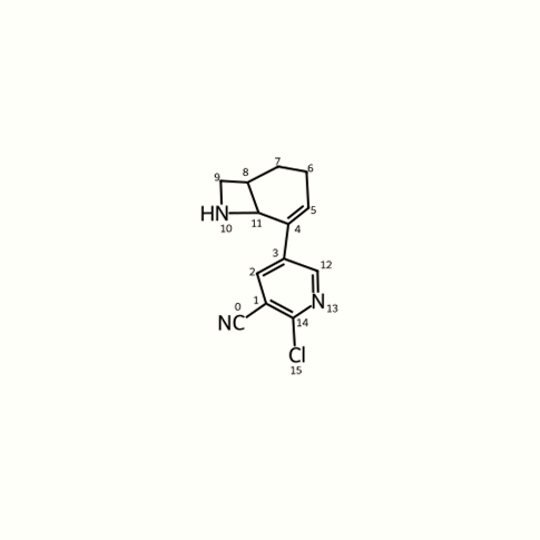 N#Cc1cc(C2=CCCC3CNC23)cnc1Cl